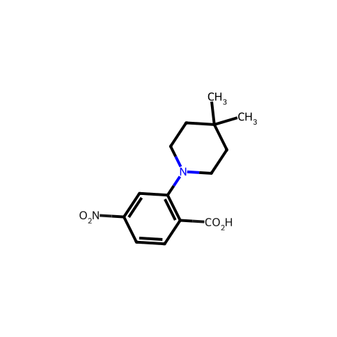 CC1(C)CCN(c2cc([N+](=O)[O-])ccc2C(=O)O)CC1